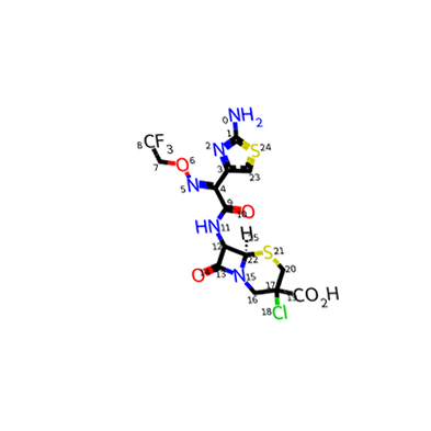 Nc1nc(C(=NOCC(F)(F)F)C(=O)NC2C(=O)N3CC(Cl)(C(=O)O)CS[C@H]23)cs1